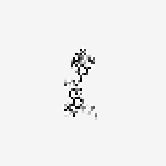 CC(C)Oc1cc(C(F)(F)F)ccc1/C=C\C(=O)NCc1cc(F)c(NS(C)(=O)=O)c(F)c1